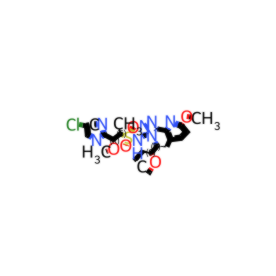 COc1ccc2c(n1)-c1nnc(NS(=O)(=O)[C@@H](C)[C@H](OC)c3ncc(Cl)cn3)n1[C@@H]([C@@H]1CCCCO1)C2